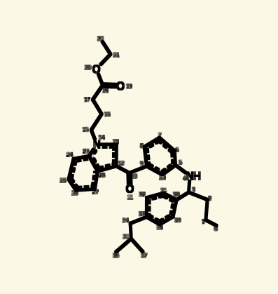 CCCC(Nc1cccc(C(=O)c2cn(CCCC(=O)OCC)c3ccccc23)c1)c1ccc(CC(C)C)cc1